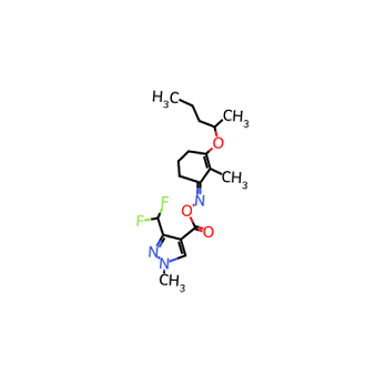 CCCC(C)OC1=C(C)C(=NOC(=O)c2cn(C)nc2C(F)F)CCC1